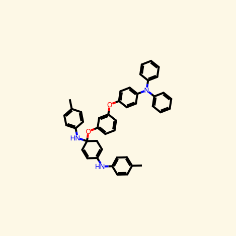 Cc1ccc(NC2=CCC(Nc3ccc(C)cc3)(Oc3cccc(Oc4ccc(N(c5ccccc5)c5ccccc5)cc4)c3)C=C2)cc1